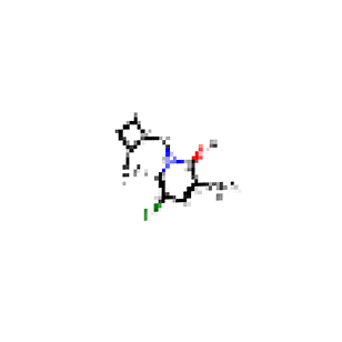 CO[C@H]1CCC1Cn1cc(Br)cc(NC(C)=O)c1=O